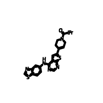 CC(C)C(=O)N1CC=C(c2cc3c(Nc4ccc5scnc5c4)ncnc3s2)CC1